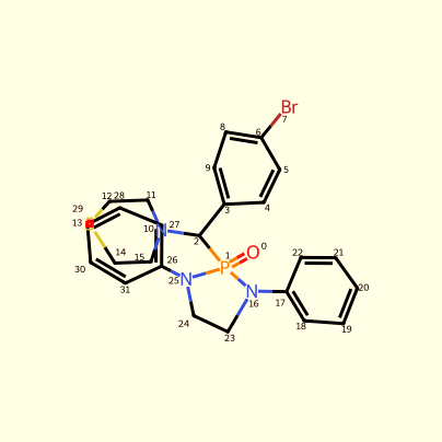 O=P1(C(c2ccc(Br)cc2)N2CCSCC2)N(c2ccccc2)CCN1c1ccccc1